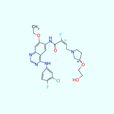 CCOc1cc2ncnc(Nc3ccc(F)c(Cl)c3)c2cc1NC(=O)/C(F)=C\CN1CC[C@@H](OCCO)C1